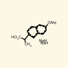 COc1ccc2cc(C(C)C(=O)O)ccc2c1.[NaH].[NaH]